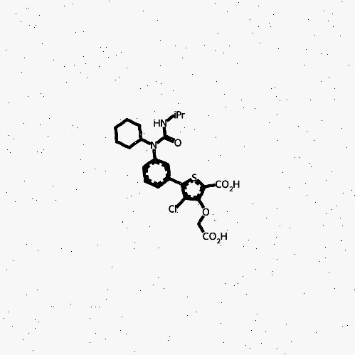 CC(C)NC(=O)N(c1cccc(-c2sc(C(=O)O)c(OCC(=O)O)c2Cl)c1)C1CCCCC1